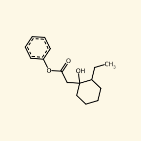 CCC1CCCCC1(O)CC(=O)Oc1ccccc1